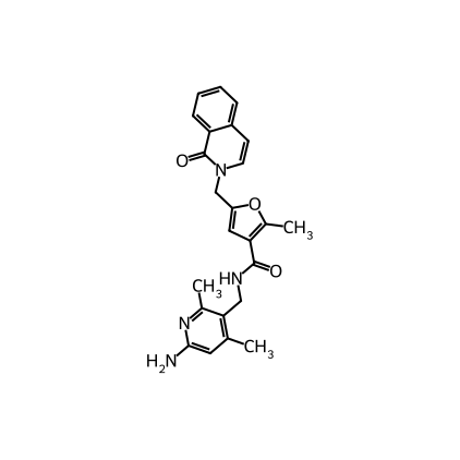 Cc1cc(N)nc(C)c1CNC(=O)c1cc(Cn2ccc3ccccc3c2=O)oc1C